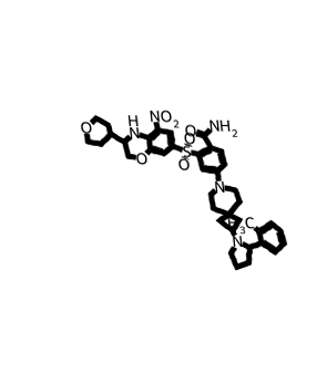 Cc1ccccc1C1CCCN1C1CC2(CCN(c3ccc(C(N)=O)c(S(=O)(=O)c4cc5c(c([N+](=O)[O-])c4)NC(C4CCOCC4)CO5)c3)CC2)C1